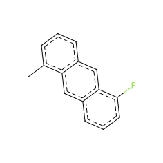 Cc1cccc2cc3c(F)cccc3cc12